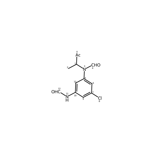 CC(=O)C(C)N(C=O)c1cc(Cl)cc(NC=O)c1